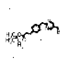 CC(C)(C)OC(=O)CCc1ccc(Cc2ncc(CBr)cn2)cc1